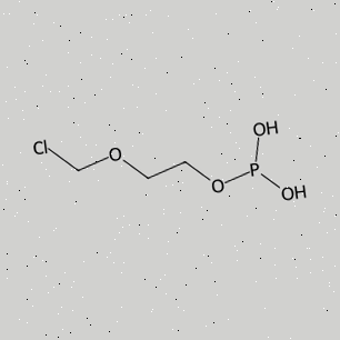 OP(O)OCCOCCl